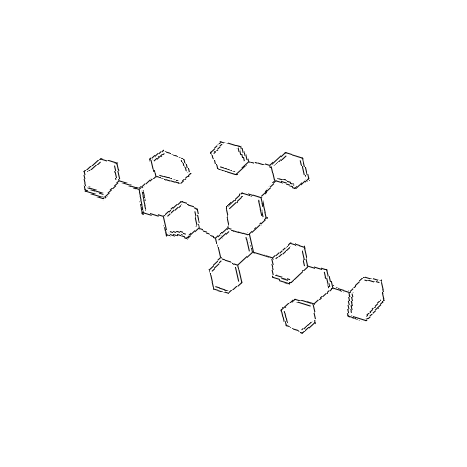 C(=C(c1ccccc1)c1ccccc1)c1ccc(-c2c3ccccc3c(-c3ccc(C=C(c4ccccc4)c4ccccc4)cc3)c3cc(-c4ccccc4-c4ccccc4)ccc23)cc1